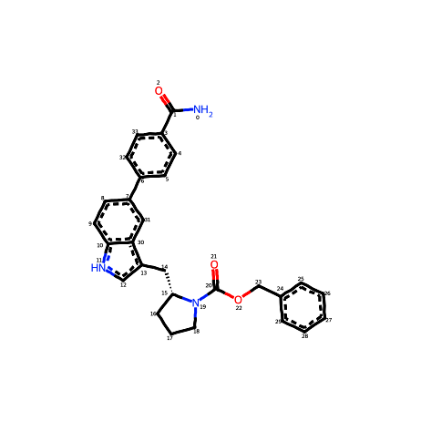 NC(=O)c1ccc(-c2ccc3[nH]cc(C[C@H]4CCCN4C(=O)OCc4ccccc4)c3c2)cc1